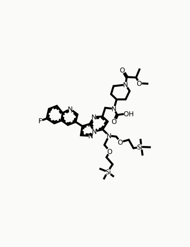 COC(C)C(=O)N1CCC(N(Cc2cc(N(COCC[Si](C)(C)C)COCC[Si](C)(C)C)n3ncc(-c4cnc5ccc(F)cc5c4)c3n2)C(=O)O)CC1